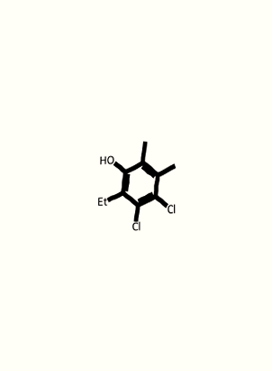 CCc1c(O)c(C)c(C)c(Cl)c1Cl